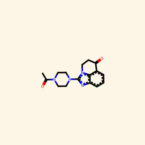 CC(=O)N1CCN(c2nc3cccc4c3n2CCC4=O)CC1